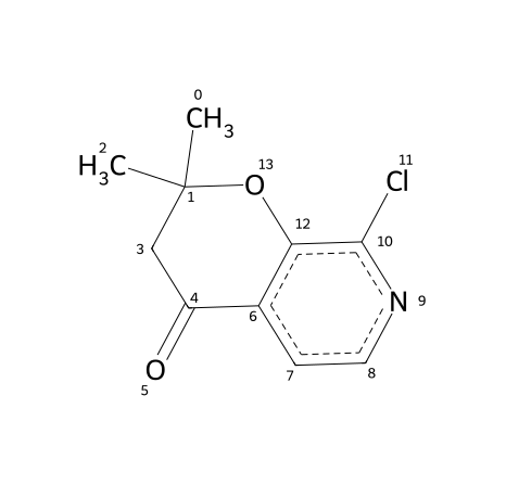 CC1(C)CC(=O)c2ccnc(Cl)c2O1